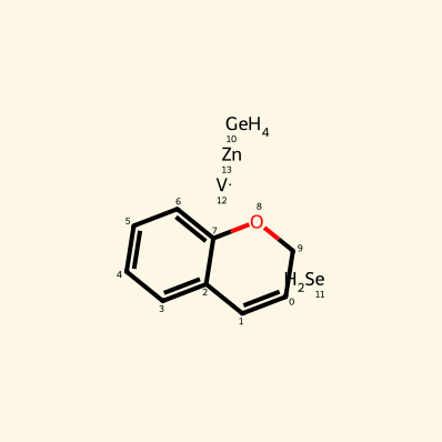 C1=Cc2ccccc2OC1.[GeH4].[SeH2].[V].[Zn]